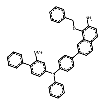 COc1cc(N(c2ccccc2)c2ccc(-c3ccc4ccc(N)c(OCc5ccccc5)c4c3)cc2)ccc1-c1ccccc1